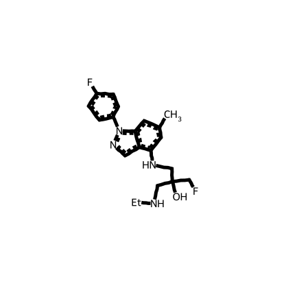 CCNCC(O)(CF)CNc1cc(C)cc2c1cnn2-c1ccc(F)cc1